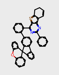 C1=Cc2c(sc3c(-c4ccccc4-c4ccc5c(c4)C4(c6ccccc6Oc6ccccc64)c4ccccc4-5)nc(-c4ccccc4)nc23)CC1